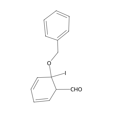 O=CC1C=CC=CC1(I)OCc1ccccc1